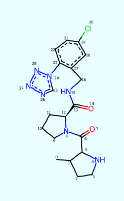 CC1CCNC1C(=O)N1CCC[C@H]1C(=O)NCc1cc(Cl)ccc1-n1cnnn1